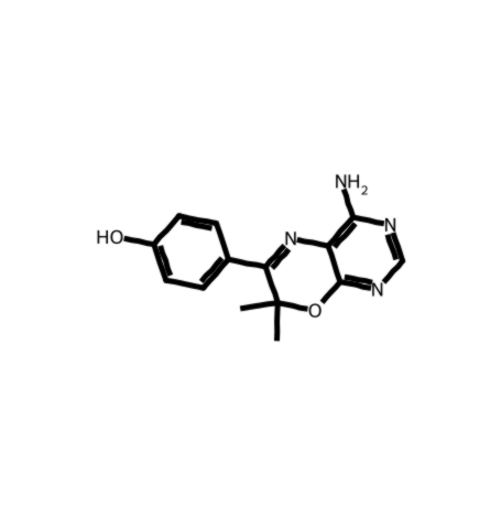 CC1(C)Oc2ncnc(N)c2N=C1c1ccc(O)cc1